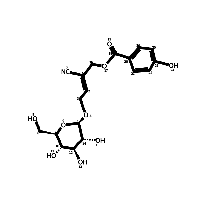 N#C/C(=C\CO[C@@H]1O[C@H](CO)[C@@H](O)[C@H](O)[C@H]1O)COC(=O)c1ccc(O)cc1